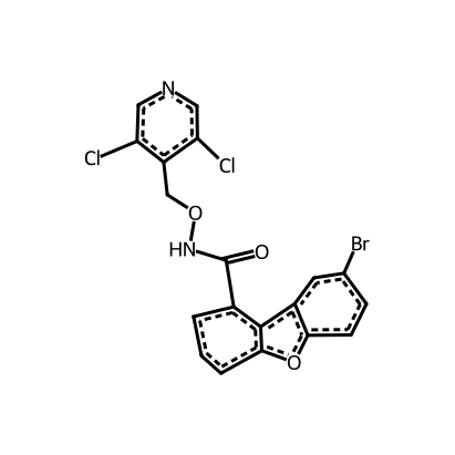 O=C(NOCc1c(Cl)cncc1Cl)c1cccc2oc3ccc(Br)cc3c12